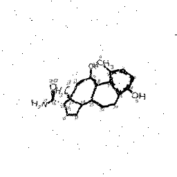 Cc1ccc(O)c2c1C1C(O)CC3(C)C(CC[C@@H]3C(N)=O)C1CC2